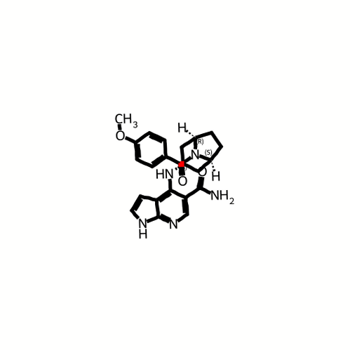 COc1ccc(C(=O)N2[C@@H]3CC[C@H]2C[C@H](Nc2c(C(N)=O)cnc4[nH]ccc24)C3)cc1